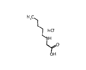 CCCCCNCC(=O)O.Cl